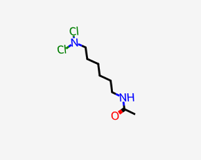 CC(=O)NCCCCCCN(Cl)Cl